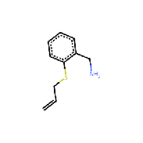 C=CCSc1ccccc1CN